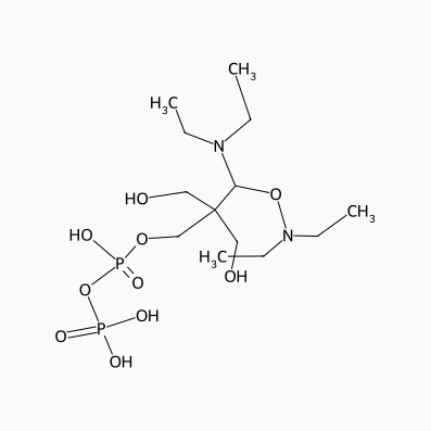 CCN(CC)OC(N(CC)CC)C(CO)(CO)COP(=O)(O)OP(=O)(O)O